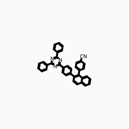 N#Cc1ccc(-c2c(-c3ccc(-c4nc(-c5ccccc5)nc(-c5ccccc5)n4)cc3)ccc3ccccc23)cc1